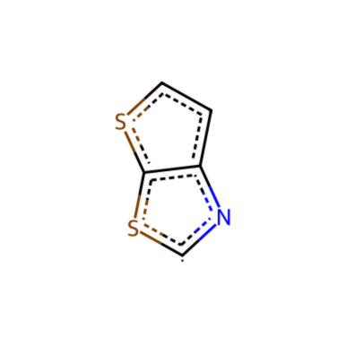 [c]1nc2ccsc2s1